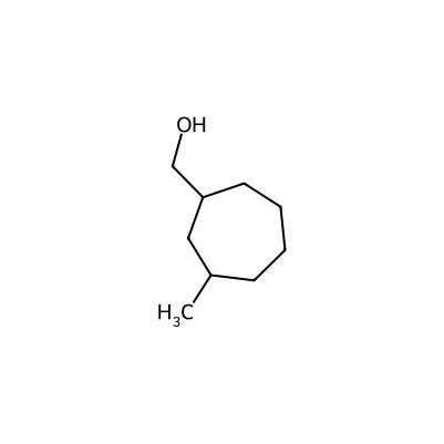 CC1CCCCC(CO)C1